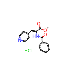 COC(=O)C(=Cc1ccncc1)NC(=O)c1ccccc1.Cl